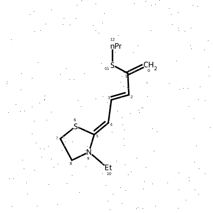 C=C(/C=C/C=C1\SCCN1CC)SCCC